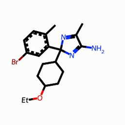 CCOC1CCC(C2(c3cc(Br)ccc3C)N=C(C)C(N)=N2)CC1